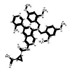 COc1ccc(CN(Cc2ccc(OC)cc2OC)c2nc(-c3cnccc3C)cc3cc(NC(=O)[C@@H]4C[C@H]4C(=O)O)ncc23)c(OC)c1